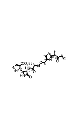 CCOC(=O)c1cnnn1[C@@H]1NC(=O)[C@H]1NC(=O)C=NOCc1csc(NC(=O)CCl)n1